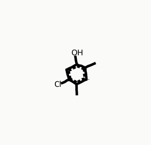 Cc1[c]c(C)c(Cl)cc1O